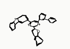 c1ccc(-c2cccc(-c3cc(-c4ccc5sc6ccccc6c5c4)nc(-c4cc5ccccc5o4)n3)c2)cc1